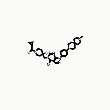 CN1CCC2(CC1)CCN(c1ccc(-n3ncc4c(=O)n(CC5(O)CCN(C(=O)C6CC6)CC5)cnc43)cc1)CC2